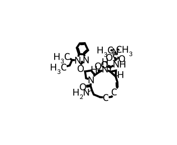 CCC(C)n1c(O[C@@H]2C[C@H]3C(=O)N[C@]4(C(=O)NS(=O)(=O)N(C)C)C[C@H]4/C=C\CCCCC[C@H](N)C(=O)N3C2)nc2ccccc21